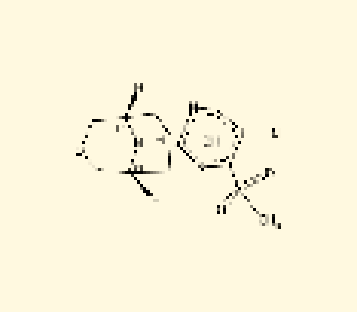 CS(=O)(=O)c1nc(N2[C@@H]3COC[C@H]2C[C@@H](O)C3)ncc1Cl